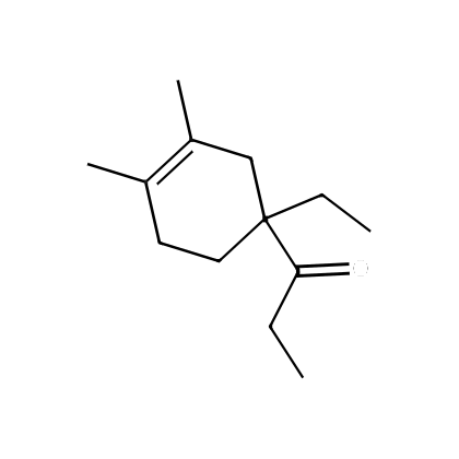 CCC(=O)C1(CC)CCC(C)=C(C)C1